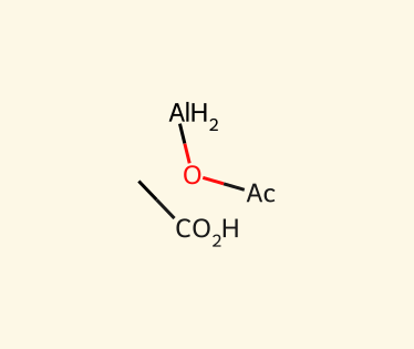 CC(=O)O.CC(=O)[O][AlH2]